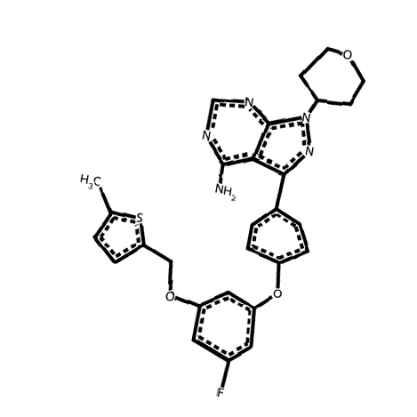 Cc1ccc(COc2cc(F)cc(Oc3ccc(-c4nn(C5CCOCC5)c5ncnc(N)c45)cc3)c2)s1